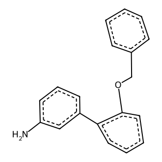 Nc1cccc(-c2ccccc2OCc2ccccc2)c1